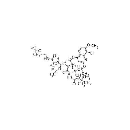 C=C[C@@H]1C[C@]1(NC(=O)[C@@H]1C[C@@H](Oc2cc(OCC)nc3c(Cl)c(OC)ccc23)CN1C(=O)[C@@H](NC(=O)OC(C)(C)C)C(C)(C)C)C(=O)NCCOC1(C)CC1